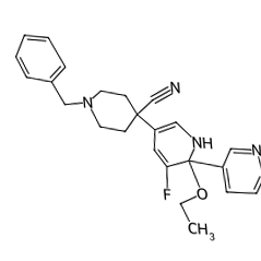 CCOC1(c2cccnc2)NC=C(C2(C#N)CCN(Cc3ccccc3)CC2)C=C1F